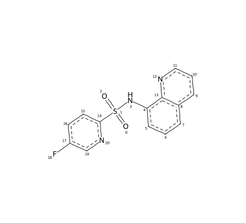 O=S(=O)(Nc1cccc2cccnc12)c1ccc(F)cn1